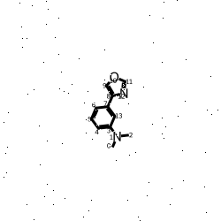 CN(C)c1cccc(-c2cocn2)c1